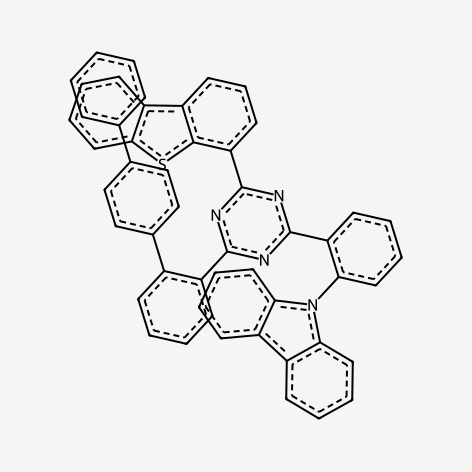 c1ccc(-c2ccc(-c3ccccc3-c3nc(-c4ccccc4-n4c5ccccc5c5ccccc54)nc(-c4cccc5c4sc4ccccc45)n3)cc2)cc1